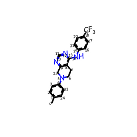 Cc1ccc(N2CCc3c(ncnc3Nc3ccc(C(F)(F)F)cc3)C2)cc1